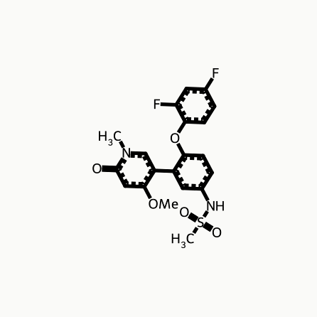 COc1cc(=O)n(C)cc1-c1cc(NS(C)(=O)=O)ccc1Oc1ccc(F)cc1F